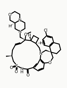 CO[C@@]1(CN2CCN3CCOC[C@@H]3C2)/C=C/C[C@H](C)CS(=O)(=O)NC(=O)c2ccc3c(c2)N(C[C@@H]2CC[C@H]21)C[C@@]1(CCCc2cc(Cl)ccc21)CO3